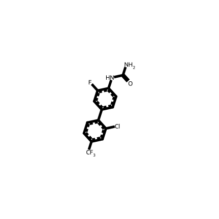 NC(=O)Nc1ccc(-c2ccc(C(F)(F)F)cc2Cl)cc1F